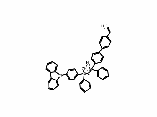 C=Cc1ccc(-c2ccc([Si](C)(O[Si](C)(c3ccccc3)c3ccc(-n4c5ccccc5c5ccccc54)cc3)c3ccccc3)cc2)cc1